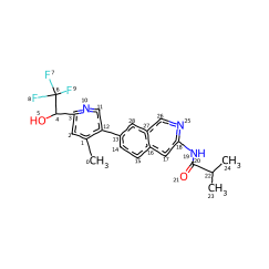 Cc1cc(C(O)C(F)(F)F)ncc1-c1ccc2cc(NC(=O)C(C)C)ncc2c1